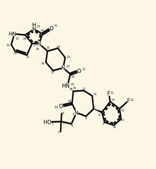 CC(C)(O)CN1C[C@H](c2cccc(F)c2F)CC[C@@H](NC(=O)N2CCC(n3c4c([nH]c3=O)NCC=C4)CC2)C1=O